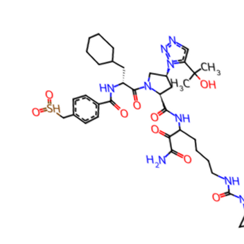 CC(C)(O)c1cnnn1[C@H]1C[C@@H](C(=O)NC(CCCCNC(=O)NC2CC2)C(=O)C(N)=O)N(C(=O)[C@@H](CC2CCCCC2)NC(=O)c2ccc(C[SH](=O)=O)cc2)C1